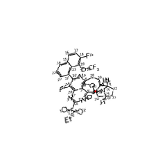 CCS(=O)(=O)c1nc2c3c(nc(-c4cccc5ccc(F)c(OC(F)(F)F)c45)c(F)c3n1)CC[C@@H]1[C@@H]3CC[C@H](CN21)N3C(=O)OI